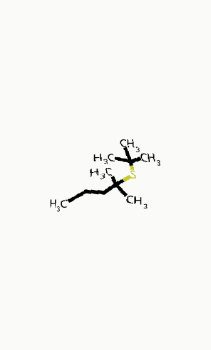 CCCC(C)(C)SC(C)(C)C